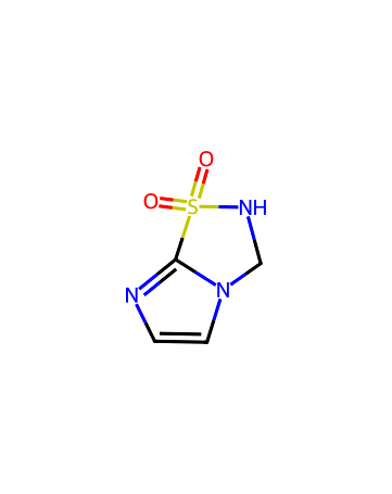 O=S1(=O)NCn2ccnc21